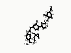 N#CCC1(Cn2c(Cc3ccc(-c4ccnc(OCc5ccc(C#N)cc5F)n4)c(F)c3)nc3ccc(C(=O)O)cc32)CC1